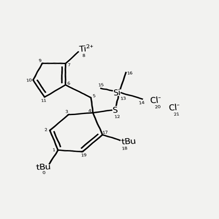 CC(C)(C)C1=CCC(CC2=[C]([Ti+2])CC=C2)(S[Si](C)(C)C)C(C(C)(C)C)=C1.[Cl-].[Cl-]